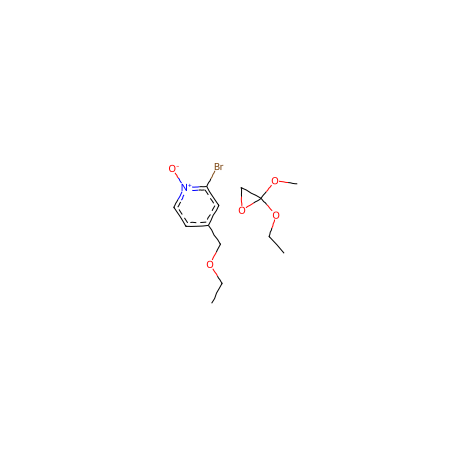 CCOC1(OC)CO1.CCOCc1cc[n+]([O-])c(Br)c1